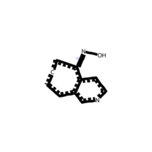 O/N=c1/ccccc2cnccc12